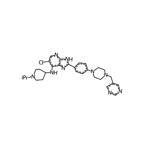 CC(C)N1CCC(Nc2c(Cl)cnc3[nH]c(-c4ccc(N5CCN(Cc6cncnc6)CC5)cc4)nc23)CC1